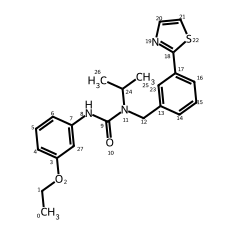 CCOc1cccc(NC(=O)N(Cc2cccc(-c3nccs3)c2)C(C)C)c1